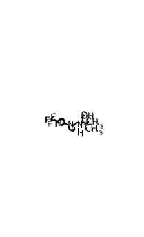 CC(C)[C@H](CO)NCc1cccc(-c2ccc(C(F)(F)F)nc2)n1